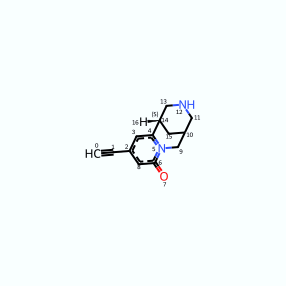 C#Cc1cc2n(c(=O)c1)CC1CNC[C@@H]2C1